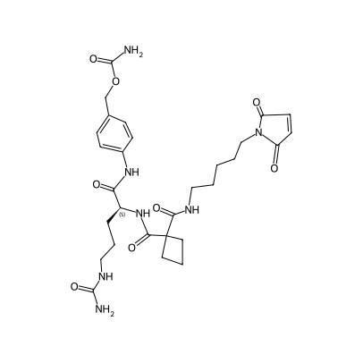 NC(=O)NCCC[C@H](NC(=O)C1(C(=O)NCCCCCN2C(=O)C=CC2=O)CCC1)C(=O)Nc1ccc(COC(N)=O)cc1